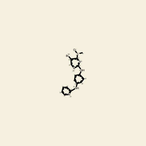 C[S+]([O-])c1nc(Nc2ccc(Nc3ccccn3)cc2)ncc1Br